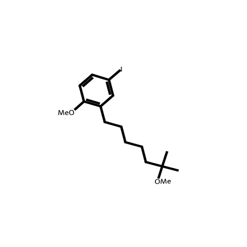 COc1ccc(I)cc1CCCCCC(C)(C)OC